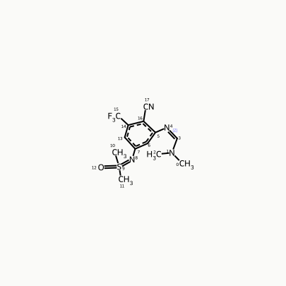 CN(C)/C=N\c1cc(N=S(C)(C)=O)cc(C(F)(F)F)c1C#N